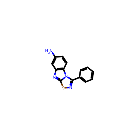 Nc1ccc2c(c1)nc1snc(-c3ccccc3)n12